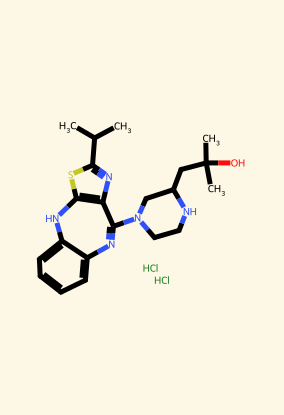 CC(C)c1nc2c(s1)Nc1ccccc1N=C2N1CCNC(CC(C)(C)O)C1.Cl.Cl